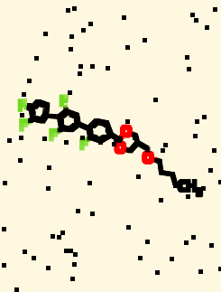 CCCCCOCC1COC(c2ccc(-c3cc(F)c(-c4ccc(F)c(F)c4)c(F)c3)c(F)c2)OC1